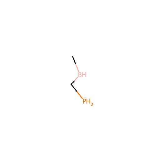 CBCP